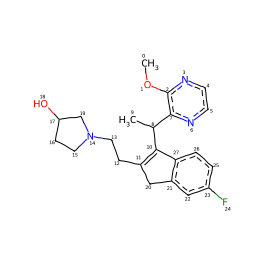 COc1nccnc1C(C)C1=C(CCN2CCC(O)C2)Cc2cc(F)ccc21